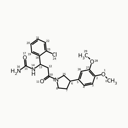 COc1ccc(C2CCN(C(=O)CC(NC(N)=O)c3ccccc3Cl)C2)cc1OC